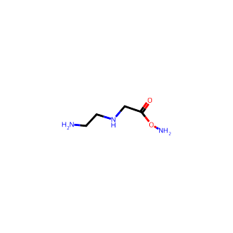 NCCNCC(=O)ON